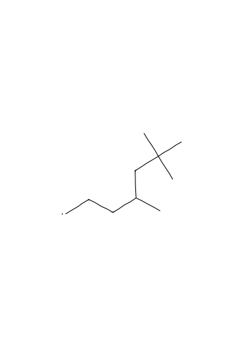 [CH2]CCC(C)CC(C)(C)C